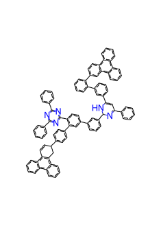 C1=CC(c2ccc(-c3cc(-c4cccc(C5N=C(c6ccccc6)C=C(c6cccc(-c7ccccc7-c7ccc8c9ccccc9c9ccccc9c8c7)c6)N5)c4)ccc3-c3nc(-c4ccccc4)nc(-c4ccccc4)n3)cc2)Cc2c1c1ccccc1c1ccccc21